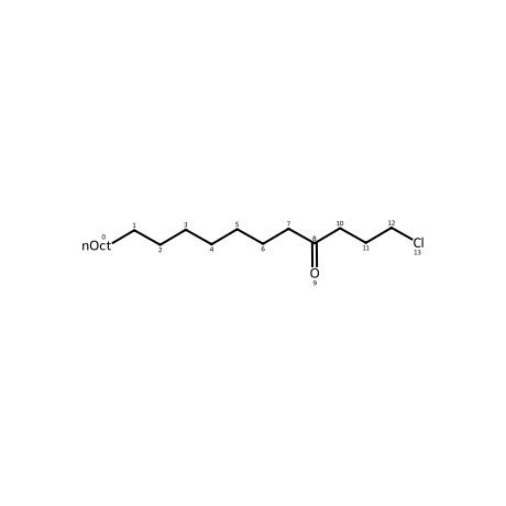 CCCCCCCCCCCCCCCC(=O)CCCCl